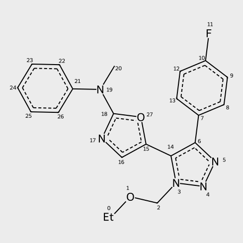 CCOCn1nnc(-c2ccc(F)cc2)c1-c1cnc(N(C)c2ccccc2)o1